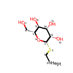 CCCCCCCCS[C@@H]1O[C@H](CO)[C@@H](O)[C@H](O)[C@@H]1O